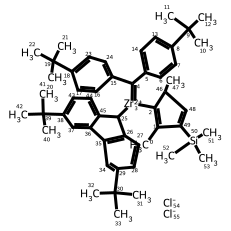 CC1=[C]([Zr+2](=[C](c2ccc(C(C)(C)C)cc2)c2ccc(C(C)(C)C)cc2)[CH]2c3ccc(C(C)(C)C)cc3-c3cc(C(C)(C)C)ccc32)C(C)C=C1[Si](C)(C)C.[Cl-].[Cl-]